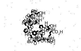 CC[C@H](C)[C@H](NC(=O)CNC(=O)[C@@H]1CCCN1C(=O)[C@H](Cc1c[nH]cn1)NC(=O)[C@H](Cc1c[nH]cn1)NC(=O)[C@H](CO)NC(=O)[C@H](CO)NC(=O)[C@@H](N)CO)C(=O)N[C@@H](C)C(=O)N[C@@H](CCC(=O)O)C(=O)N[C@@H](Cc1ccccc1)C(=O)N1CCC[C@H]1C(=O)N[C@@H](CO)C(=O)N[C@@H](CCCNC(=N)N)C(=O)O